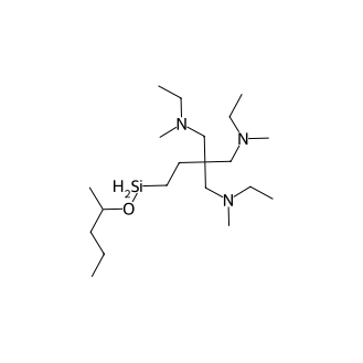 CCCC(C)O[SiH2]CCC(CN(C)CC)(CN(C)CC)CN(C)CC